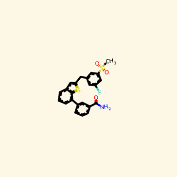 CS(=O)(=O)c1cc(F)cc(Cc2cc3cccc(-c4cccc(C(N)=O)c4)c3s2)c1